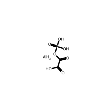 O=C(O)C(=O)OP(=O)(O)O.[AlH3]